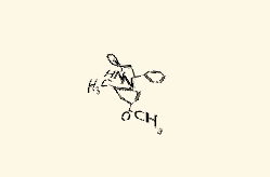 CC(=O)c1ccc(N2NC(=O)CC2c2ccccc2)c(C)c1